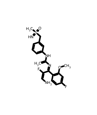 C=C(/N=C(\C(F)=C/N)c1ccc(F)cc1OC)Nc1cccc(CS(C)(=N)=O)c1